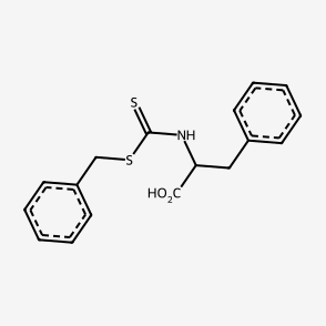 O=C(O)C(Cc1ccccc1)NC(=S)SCc1ccccc1